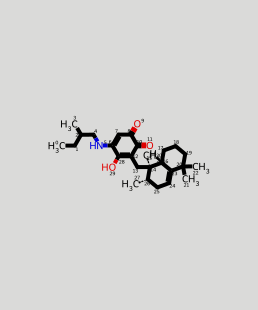 CCC(C)CNC1=CC(=O)C(=O)C(C[C@@]2(C)[C@@H]3CCCC(C)(C)C3=CC[C@@H]2C)=C1O